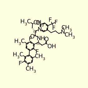 Cc1cc(C)c(-c2cc(C)c(F)c([C@H](CC(=O)O)NC(=O)[C@H](CC(C)C)n3cc(CCCN(C)C)c(C(F)(F)F)cc3=O)c2F)c(C)c1F